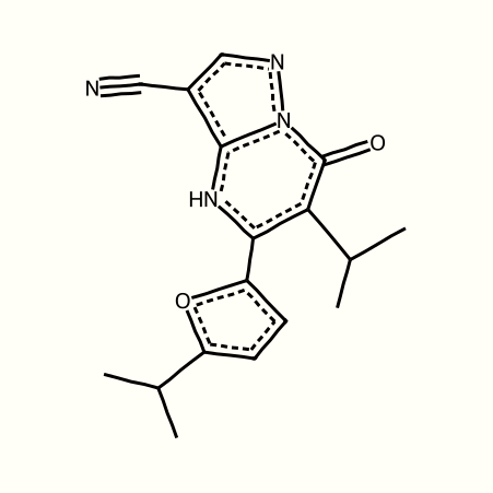 CC(C)c1ccc(-c2[nH]c3c(C#N)cnn3c(=O)c2C(C)C)o1